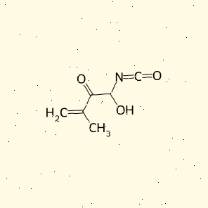 C=C(C)C(=O)C(O)N=C=O